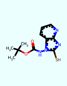 CC(C)(C)OC(=O)Nn1c(S)nc2ncccc21